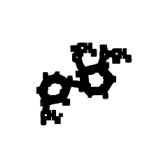 [CH2]c1cccc(-c2cccc(OC)c2OC)c1